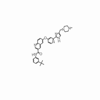 CN1CCN(Cc2c[nH]c(-c3cc(Oc4ccc5ncc(C(=O)Nc6cccc(C(C)(C)C)c6)cc5c4)ccn3)n2)CC1